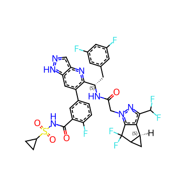 O=C(Cn1nc(C(F)F)c2c1C(F)(F)C1C[C@H]21)N[C@@H](Cc1cc(F)cc(F)c1)c1nc2cn[nH]c2cc1-c1ccc(F)c(C(=O)NS(=O)(=O)C2CC2)c1